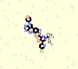 CC(C)n1cc(-c2ccc(Cl)cn2)c(=O)c(C(=O)Nc2ccc(-c3cn(C4CCOCC4)c4ncnc(N)c34)cc2)n1